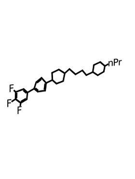 CCCC1CCC(CCCCC2CCC(c3ccc(-c4cc(F)c(F)c(F)c4)cc3)CC2)CC1